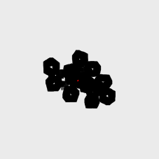 c1ccc(C2(c3ccccc3)c3ccccc3-c3cc(-c4cccc5c4c4ccccc4n5-c4cccc5c6ccccc6n(-c6ccc([Si](c7ccccc7)(c7ccccc7)c7ccccc7)cc6)c45)ccc32)cc1